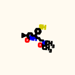 CC(=O)N(C)CCC/C=C(\c1ccc(S)cc1)c1ccc(C2CC2)c(=O)[nH]1